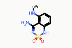 CCCNc1cccc2c1C(N)=NS(=O)(=O)N2